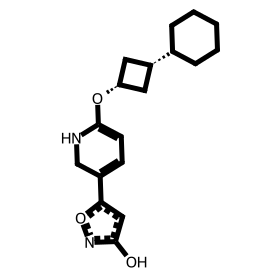 Oc1cc(C2=CC=C(O[C@H]3C[C@@H](C4CCCCC4)C3)NC2)on1